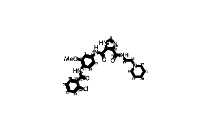 COc1cc(NC(=O)c2[nH]cnc2C(=O)NCCN2CCCCC2)ccc1NC(=O)c1ccccc1Cl